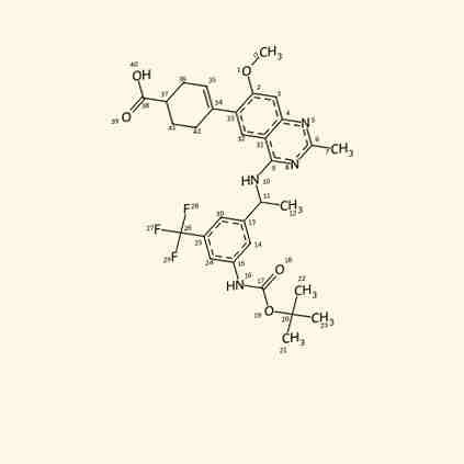 COc1cc2nc(C)nc(NC(C)c3cc(NC(=O)OC(C)(C)C)cc(C(F)(F)F)c3)c2cc1C1=CCC(C(=O)O)CC1